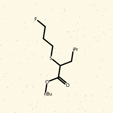 CCCCOC(=O)C(CC(C)C)SCCCF